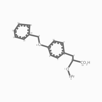 CCCOC(Cc1ccc(OCc2ccccc2)cc1)C(=O)O